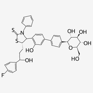 OC[C@H]1O[C@@H](c2ccc(-c3ccc(C4[C@H](CCC(O)c5ccc(F)cc5)SC(=S)N4c4ccccc4)c(O)c3)cc2)[C@H](O)[C@@H](O)[C@@H]1O